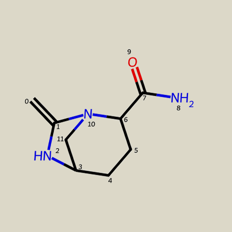 C=C1NC2CCC(C(N)=O)N1C2